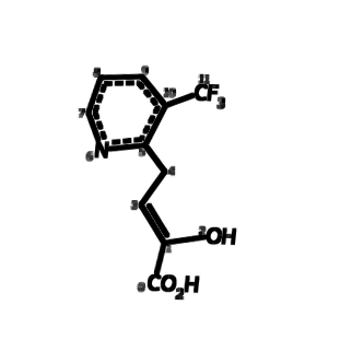 O=C(O)C(O)=CCc1ncccc1C(F)(F)F